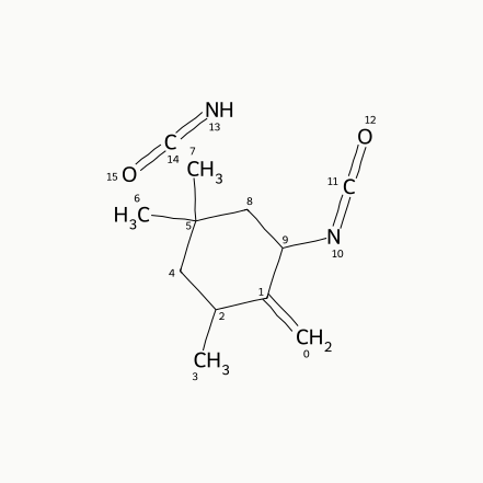 C=C1C(C)CC(C)(C)CC1N=C=O.N=C=O